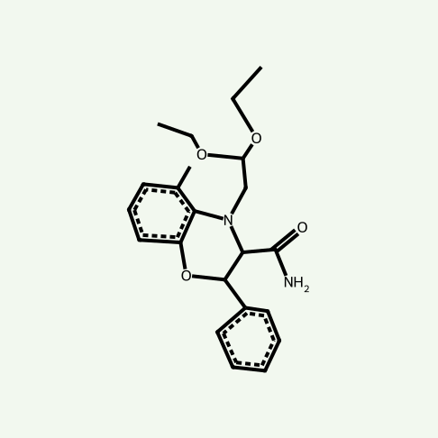 CCOC(CN1c2c(C)cccc2OC(c2ccccc2)C1C(N)=O)OCC